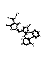 CC1=C(C(=O)OC(C)C)C(=O)/C(=C\c2cc(C)n(-c3ccccc3-c3ccccc3Cl)c2C)N1